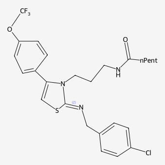 CCCCCC(=O)NCCCn1c(-c2ccc(OC(F)(F)F)cc2)cs/c1=N\Cc1ccc(Cl)cc1